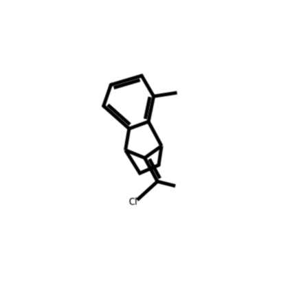 C/C(Cl)=C1/C2CCC1c1c(C)cccc12